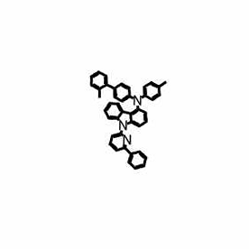 Cc1ccc(N(c2ccc(-c3ccccc3C)cc2)c2cccc3c2c2ccccc2n3-c2cccc(-c3ccccc3)n2)cc1